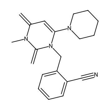 C=C1C=C(N2CCCCC2)N(Cc2ccccc2C#N)C(=C)N1C